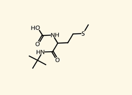 CSCCC(NC(=O)O)C(=O)NC(C)(C)C